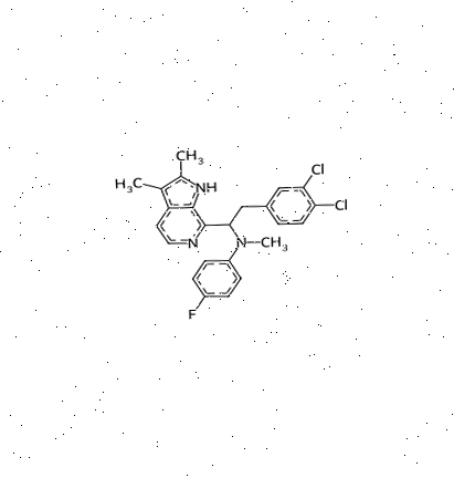 Cc1[nH]c2c(C(Cc3ccc(Cl)c(Cl)c3)N(C)c3ccc(F)cc3)nccc2c1C